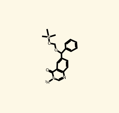 [2H]n1cnc2ccc(C(OCO[Si](C)(C)C)c3ccccc3)cc2c1=O